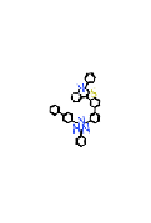 c1ccc(-c2ccc(-c3nc(-c4ccccc4)nc(-c4cccc(-c5ccc6sc7c(-c8ccccc8)nc8ccccc8c7c6c5)c4)n3)cc2)cc1